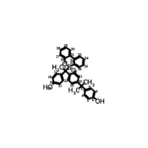 CC(C)(c1ccc(O)cc1)c1ccc(C(C)(c2ccc(O)cc2)P2(=O)Oc3ccccc3-c3ccccc32)cc1